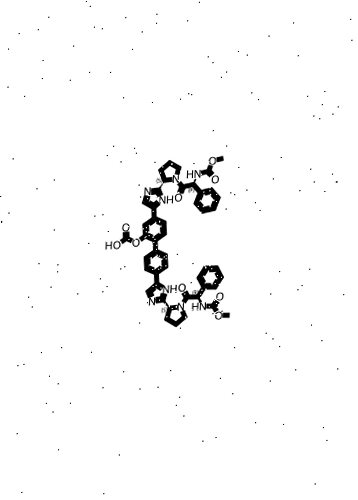 COC(=O)N[C@@H](C(=O)N1CCC[C@H]1c1ncc(-c2ccc(-c3ccc(-c4cnc([C@@H]5CCCN5C(=O)[C@H](NC(=O)OC)c5ccccc5)[nH]4)cc3OC(=O)O)cc2)[nH]1)c1ccccc1